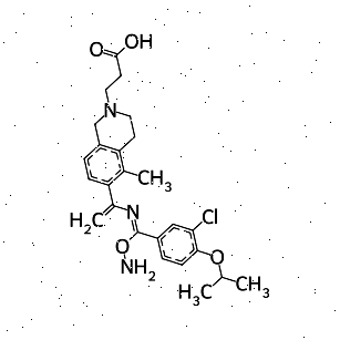 C=C(/N=C(\ON)c1ccc(OC(C)C)c(Cl)c1)c1ccc2c(c1C)CCN(CCC(=O)O)C2